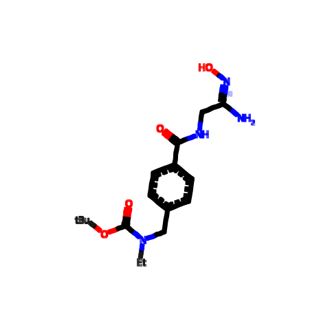 CCN(Cc1ccc(C(=O)NC/C(N)=N\O)cc1)C(=O)OC(C)(C)C